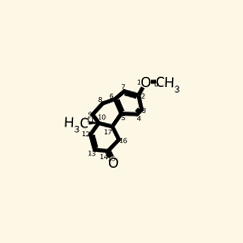 COc1ccc2c(c1)CC[C@@]1(C)C=CC(=O)CC21